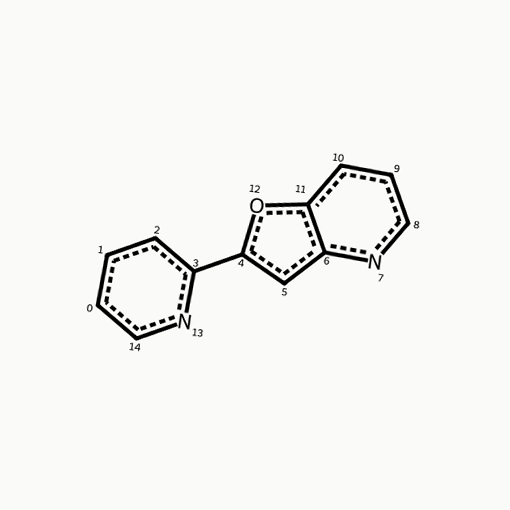 c1ccc(-c2cc3ncccc3o2)nc1